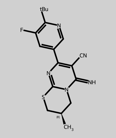 C[C@H]1CSc2nc(-c3cnc(C(C)(C)C)c(F)c3)c(C#N)c(=N)n2C1